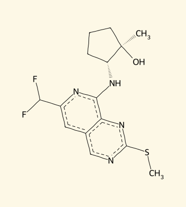 CSc1ncc2cc(C(F)F)nc(N[C@@H]3CCC[C@@]3(C)O)c2n1